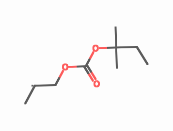 C[CH]COC(=O)OC(C)(C)CC